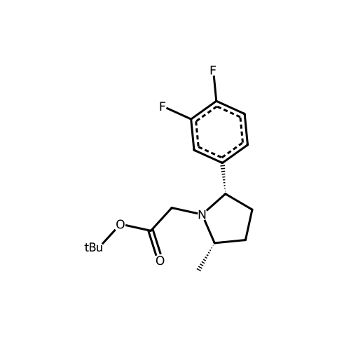 C[C@H]1CC[C@@H](c2ccc(F)c(F)c2)N1CC(=O)OC(C)(C)C